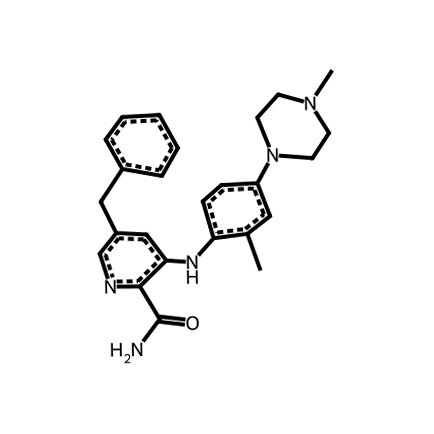 Cc1cc(N2CCN(C)CC2)ccc1Nc1cc(Cc2ccccc2)cnc1C(N)=O